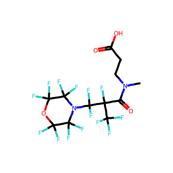 CN(CCC(=O)O)C(=O)C(F)(C(F)(F)F)C(F)(F)N1C(F)(F)C(F)(F)OC(F)(F)C1(F)F